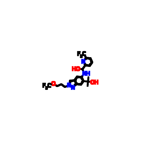 CC(C)(O)c1cc2nn(CCCOC(F)(F)F)cc2cc1NC(O)c1cccc(C(F)(F)F)n1